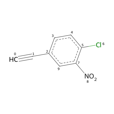 C#Cc1ccc(Cl)c([N+](=O)[O-])c1